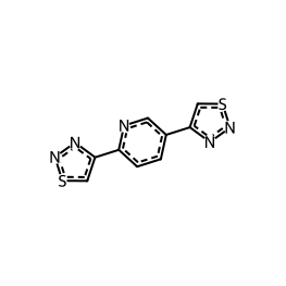 c1cc(-c2csnn2)ncc1-c1csnn1